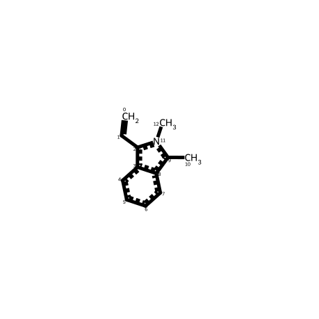 C=Cc1c2ccccc2c(C)n1C